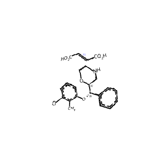 Cc1c(Cl)cccc1O[C@@H](c1ccccc1)[C@@H]1CNCCO1.O=C(O)/C=C/C(=O)O